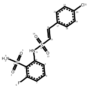 NS(=O)(=O)c1c(F)cccc1NS(=O)(=O)/C=C/c1ccc(Cl)cc1